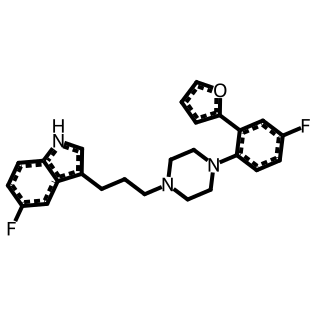 Fc1ccc(N2CCN(CCCc3c[nH]c4ccc(F)cc34)CC2)c(-c2ccco2)c1